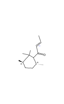 C/C=C/C(=O)C1[C@H](C)CC[C@@H](C)C1(C)C